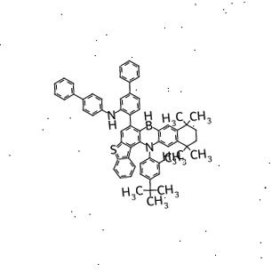 Cc1cc(C(C)(C)C)ccc1N1c2cc3c(cc2Bc2c(-c4ccc(-c5ccccc5)cc4Nc4ccc(-c5ccccc5)cc4)cc4sc5ccccc5c4c21)C(C)(C)CCC3(C)C